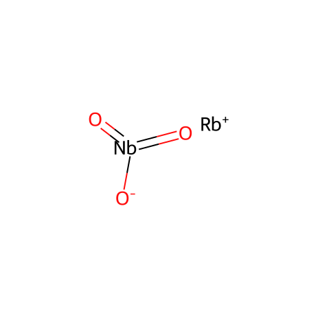 [O]=[Nb](=[O])[O-].[Rb+]